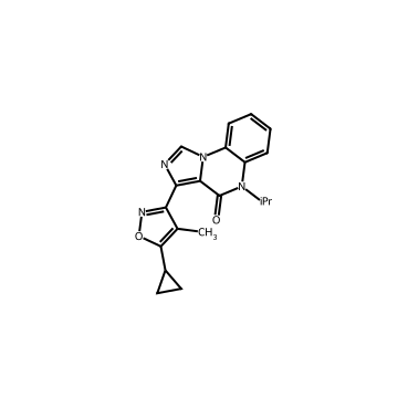 Cc1c(-c2ncn3c2c(=O)n(C(C)C)c2ccccc23)noc1C1CC1